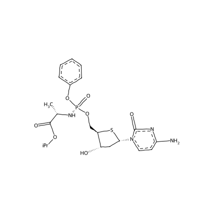 CC(C)OC(=O)[C@H](C)N[P@](=O)(OC[C@H]1S[C@H](n2ccc(N)nc2=O)C[C@@H]1O)Oc1ccccc1